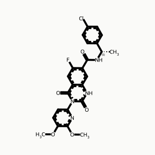 COc1ccc(-n2c(=O)[nH]c3cc(C(=O)N[C@@H](C)c4ccc(Cl)cc4)c(F)cc3c2=O)nc1OC